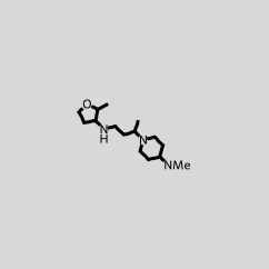 CNC1CCN(C(C)CCNC2CCOC2C)CC1